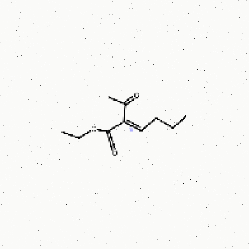 CCC/C=C(\C(C)=O)C(=O)OCC